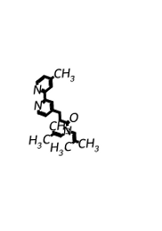 CC(C)=CN(C=C(C)C)C(=O)CCc1ccnc(-c2cc(C)ccn2)c1